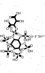 O=C(O)C(O)C(OP(=O)(O)O[C@@H]1[C@@H](OP(=O)(O)O)[C@H](OP(=O)(O)O)[C@@H](OP(=O)(O)O)[C@H](OP(=O)(O)O)[C@@H]1OP(=O)(O)O)C(=O)O.[F-].[F-].[Sn+2]